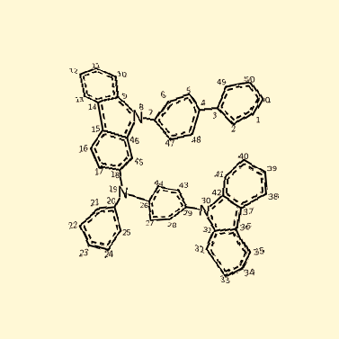 c1ccc(-c2ccc(-n3c4ccccc4c4ccc(N(c5ccccc5)c5ccc(-n6c7ccccc7c7ccccc76)cc5)cc43)cc2)cc1